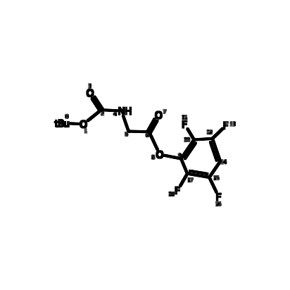 CC(C)(C)OC(=O)NCC(=O)Oc1c(F)c(F)cc(F)c1F